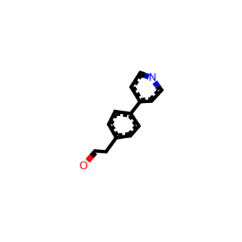 O=CCc1ccc(-c2ccncc2)cc1